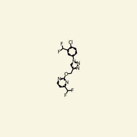 FC(F)c1ccnc(OCc2cn(-c3ccc(Cl)c(C(F)F)c3)nn2)n1